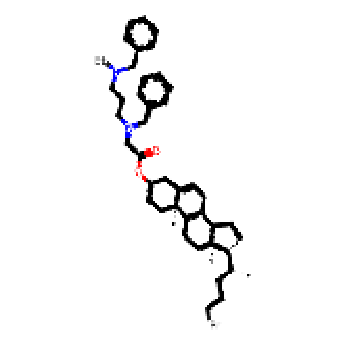 CCN(CCCN(CC(=O)OC1CC[C@@]2(C)C(=CCC3C2CC[C@@]2(C)C3CC[C@@H]2[C@H](C)CCCC(C)C)C1)Cc1ccccc1)Cc1ccccc1